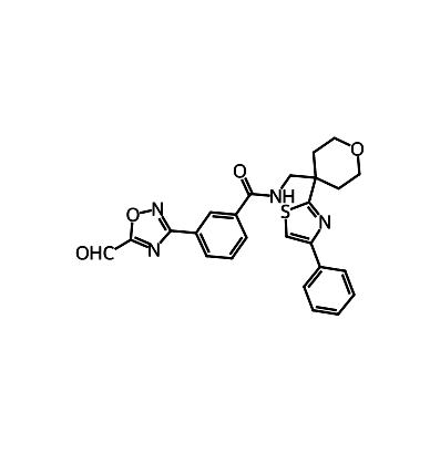 O=Cc1nc(-c2cccc(C(=O)NCC3(c4nc(-c5ccccc5)cs4)CCOCC3)c2)no1